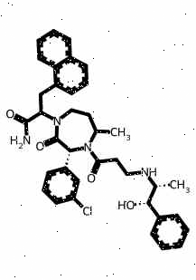 CC1CCN(C(Cc2cccc3ccccc23)C(N)=O)C(=O)[C@@H](c2cccc(Cl)c2)N1C(=O)CCN[C@H](C)[C@@H](O)c1ccccc1